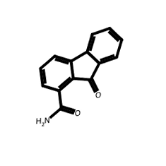 NC(=O)c1cccc2c1C(=O)c1ccccc1-2